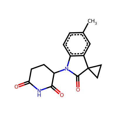 Cc1ccc2c(c1)C1(CC1)C(=O)N2C1CCC(=O)NC1=O